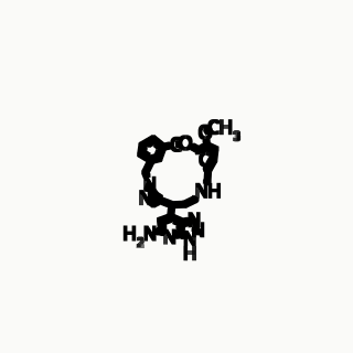 COc1ccc2cc1OCc1cccc(c1)Cn1cc(cn1)C(c1cc(N)nc3[nH]nnc13)CCNC2